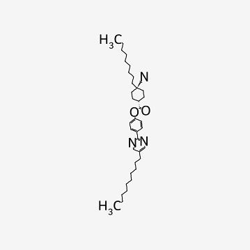 CCCCCCCCCCc1cnc(-c2ccc(OC(=O)[C@H]3CC[C@@](C#N)(CCCCCCCCC)CC3)cc2)nc1